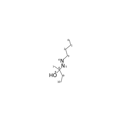 CCCCN=NC(C)(O)CC